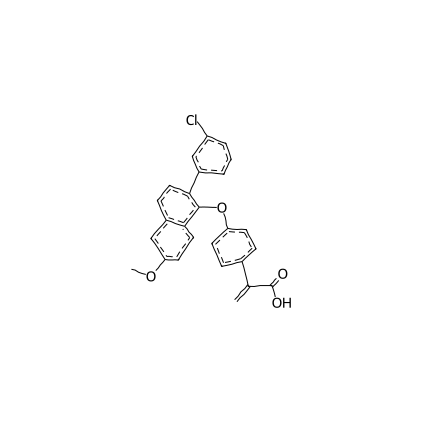 C=C(C(=O)O)c1ccc(Oc2c(-c3cccc(Cl)c3)ccc3cc(OC)ccc23)cc1